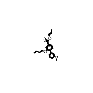 CCCCOc1cc(C(=O)OCCC)ccc1-c1cccc(OC)c1